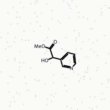 COC(=O)C(O)c1cccnc1